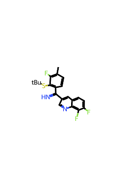 Cc1ccc(C(=N)c2cnc3c(F)c(F)ccc3c2)c(SC(C)(C)C)c1F